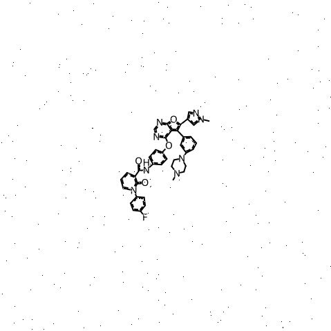 CN1CCN(c2cccc(-c3c(-c4cnn(C)c4)oc4ncnc(Oc5ccc(NC(=O)c6cccn(-c7ccc(F)cc7)c6=O)cc5)c34)c2)CC1